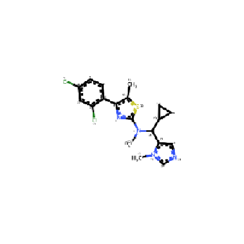 CCCN(c1nc(-c2ccc(Cl)cc2Cl)c(C)s1)C(c1cncn1C)C1CC1